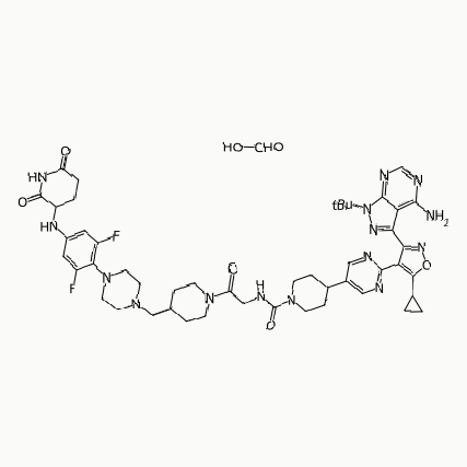 CC(C)(C)n1nc(-c2noc(C3CC3)c2-c2ncc(C3CCN(C(=O)NCC(=O)N4CCC(CN5CCN(c6c(F)cc(NC7CCC(=O)NC7=O)cc6F)CC5)CC4)CC3)cn2)c2c(N)ncnc21.O=CO